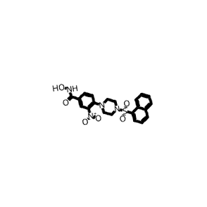 O=C(NO)c1ccc(N2CCN(S(=O)(=O)c3cccc4ccccc34)CC2)c([N+](=O)[O-])c1